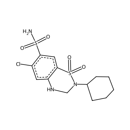 NS(=O)(=O)c1cc2c(cc1Cl)NCN(C1CCCCC1)S2(=O)=O